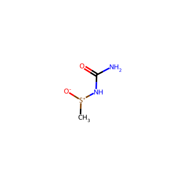 C[S+]([O-])NC(N)=O